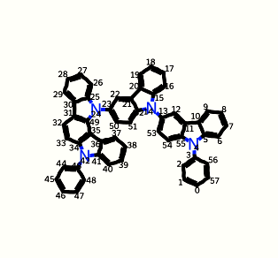 c1ccc(-n2c3ccccc3c3cc(-n4c5ccccc5c5cc(-n6c7ccccc7c7ccc8c(c9ccccc9n8-c8ccccc8)c76)ccc54)ccc32)cc1